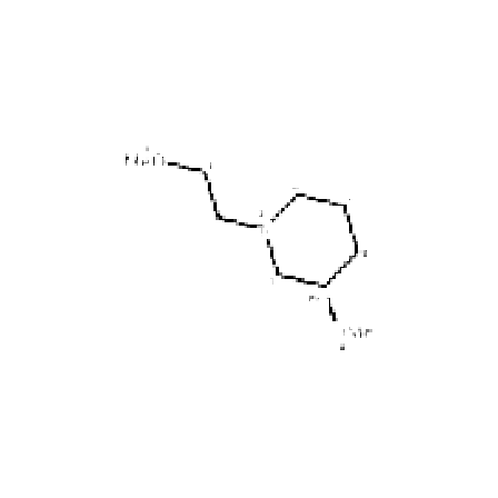 COCCN1CCC[C@@H](OC)C1